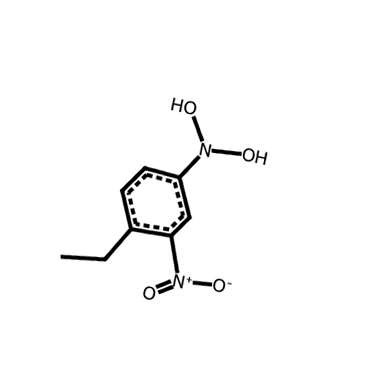 CCc1ccc(N(O)O)cc1[N+](=O)[O-]